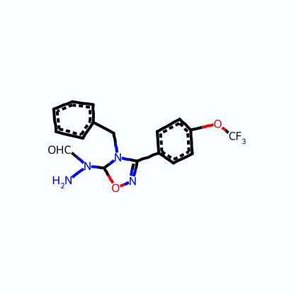 NN(C=O)C1ON=C(c2ccc(OC(F)(F)F)cc2)N1Cc1ccccc1